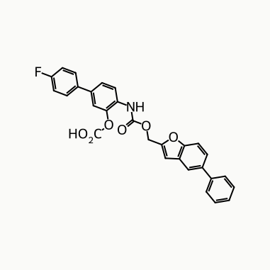 O=C(O)Oc1cc(-c2ccc(F)cc2)ccc1NC(=O)OCc1cc2cc(-c3ccccc3)ccc2o1